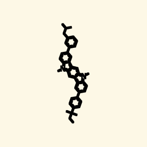 CCC(C)(C)c1ccc(-c2ccc3c(c2)c2cc4c(cc2n3C)c2cc(-c3cccc(CC(C)C)c3)ccc2n4C)cc1